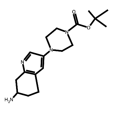 CC(C)(C)OC(=O)N1CCN(c2cnc3c(c2)CCC(N)C3)CC1